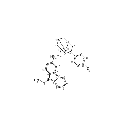 CCn1c2ccccc2c2cc(NCC34CC5CC(C3)CC(c3ccc(Cl)cc3)(C5)C4)ccc21